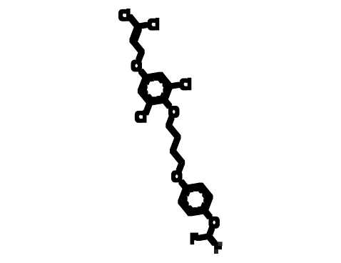 FC(F)Oc1ccc(OCCCCOc2c(Cl)cc(OCC=C(Cl)Cl)cc2Cl)cc1